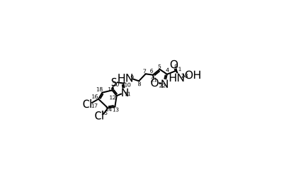 O=C(NO)c1cc(CCNc2nc3cc(Cl)c(Cl)cc3s2)on1